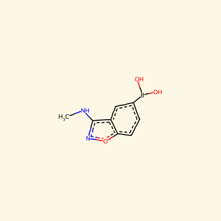 CNc1noc2ccc(B(O)O)cc12